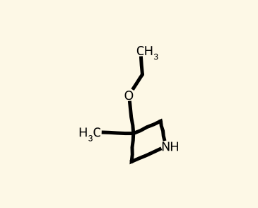 CCOC1(C)CNC1